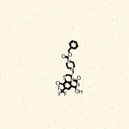 O=C(OCc1ccccc1)N1CCN(C[C@H]2CSc3c(Cl)c(C(F)(F)F)cc4c(O)nc(=O)n2c34)CC1